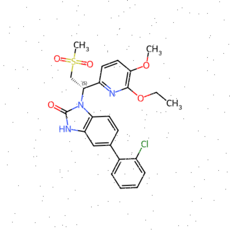 CCOc1nc([C@@H](CS(C)(=O)=O)n2c(=O)[nH]c3cc(-c4ccccc4Cl)ccc32)ccc1OC